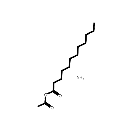 CCCCCCCCCCCC(=O)OC(C)=O.N